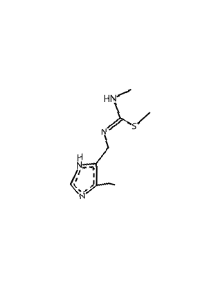 CNC(=NCc1[nH]cnc1C)SC